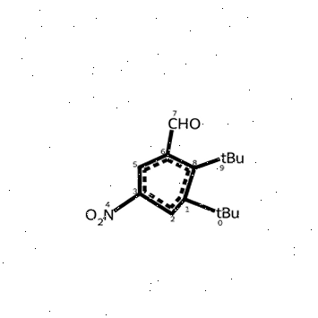 CC(C)(C)c1cc([N+](=O)[O-])cc(C=O)c1C(C)(C)C